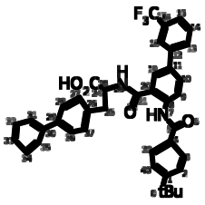 CC(C)(C)c1ccc(C(=O)Nc2ccc(-c3cccc(C(F)(F)F)c3)cc2C(=O)N[C@@H](Cc2ccc(-c3ccccc3)cc2)C(=O)O)cc1